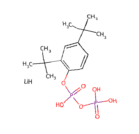 CC(C)(C)c1ccc(OP(=O)(O)OP(=O)(O)O)c(C(C)(C)C)c1.[LiH]